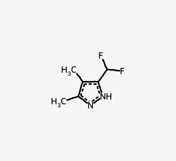 Cc1n[nH]c(C(F)F)c1C